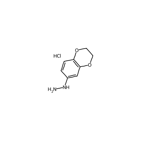 Cl.NNc1ccc2c(c1)OCCO2